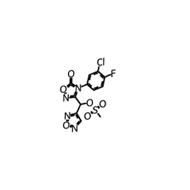 CS(=O)(=O)OC(c1cnon1)c1noc(=O)n1-c1ccc(F)c(Cl)c1